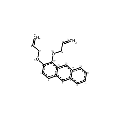 C=CCOc1ccc2cc3ccccc3cc2c1OCC=C